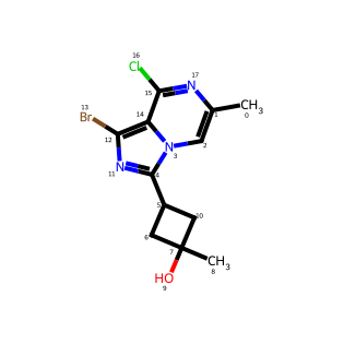 Cc1cn2c(C3CC(C)(O)C3)nc(Br)c2c(Cl)n1